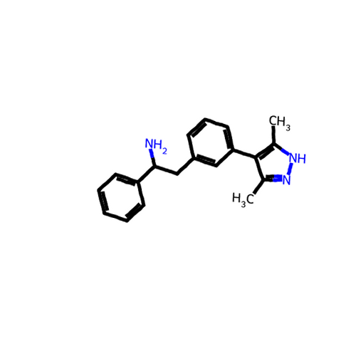 Cc1n[nH]c(C)c1-c1cccc(CC(N)c2ccccc2)c1